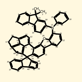 CC1(C)c2ccccc2-c2ccc(N(c3ccccc3)c3cccc4c3oc3c5c(ccc34)C3(c4ccccc4-c4ccccc43)c3ccc4c6c(ccc-5c36)CC4)cc21